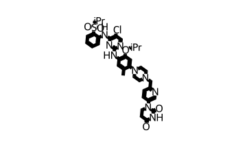 Cc1cc(Nc2ncc(Cl)c(Nc3ccccc3S(=O)(=O)C(C)C)n2)c(OC(C)C)cc1N1CCN(Cc2ccc(N3CCC(=O)NC3=O)cn2)CC1